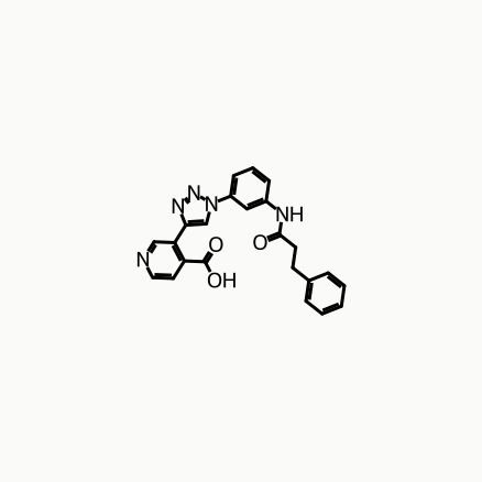 O=C(CCc1ccccc1)Nc1cccc(-n2cc(-c3cnccc3C(=O)O)nn2)c1